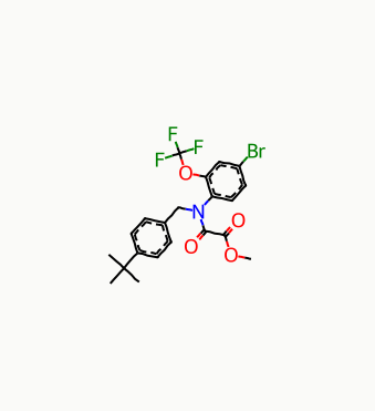 COC(=O)C(=O)N(Cc1ccc(C(C)(C)C)cc1)c1ccc(Br)cc1OC(F)(F)F